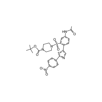 CC(=O)Nc1ccc(-c2cnc(-c3ccc([N+](=O)[O-])cc3)s2)c(S(=O)(=O)N2CCN(C(=O)OC(C)(C)C)CC2)c1